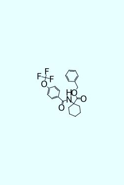 O=C(NC1(C(=O)OCc2ccccc2)CCCCC1)c1ccc(OC(F)(F)F)cc1